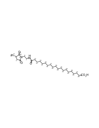 CC(C)C1CC(=O)N(CCNC(=O)CCCCCCCCCCCCCCCCCCC(=O)O)C1=O